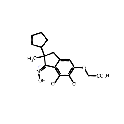 CC1(C2CCCC2)Cc2cc(OCC(=O)O)c(Cl)c(Cl)c2/C1=N\O